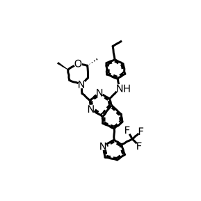 CCc1ccc(Nc2nc(CN3C[C@@H](C)O[C@H](C)C3)nc3cc(-c4ncccc4C(F)(F)F)ccc23)cc1